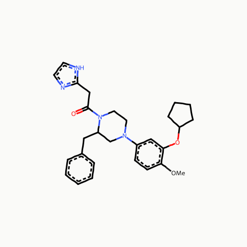 COc1ccc(N2CCN(C(=O)Cc3ncc[nH]3)C(Cc3ccccc3)C2)cc1OC1CCCC1